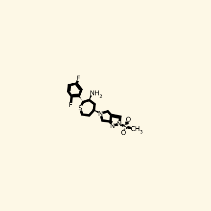 CS(=O)(=O)n1cc2c(n1)CN([C@H]1CCS[C@H](c3cc(F)ccc3F)[C@@H](N)C1)C2